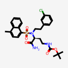 Cc1ccc(S(=O)(=O)N(CCc2cccc(Cl)c2)[C@@H](CCNC(=O)OC(C)(C)C)C(N)=O)c2ccccc12